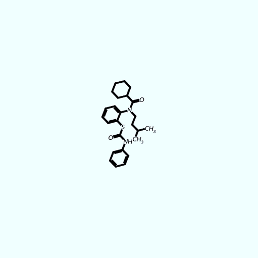 CC(C)CCN(C(=O)C1CCCCC1)c1ccccc1SC(=O)Nc1ccccc1